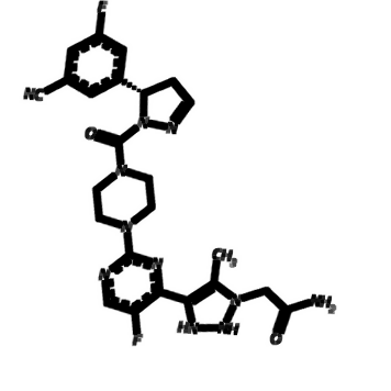 CC1=C(c2nc(N3CCN(C(=O)N4N=CC[C@H]4c4cc(F)cc(C#N)c4)CC3)ncc2F)NNN1CC(N)=O